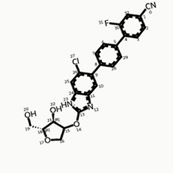 N#Cc1ccc(-c2ccc(-c3cc4nc(OC5CO[C@H](CO)[C@H]5O)[nH]c4cc3Cl)cc2)c(F)c1